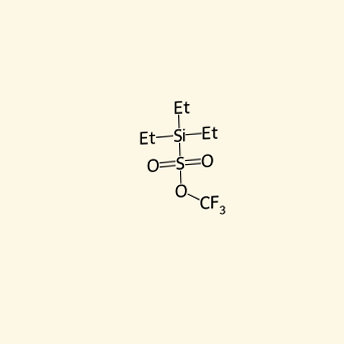 CC[Si](CC)(CC)S(=O)(=O)OC(F)(F)F